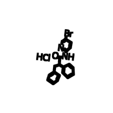 Cl.O=C(Nc1ccc(Br)cn1)C(Cc1ccccc1)c1ccccc1